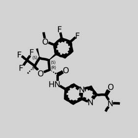 COc1c([C@H]2[C@H](C(=O)Nc3ccc4nc(C(=O)N(C)C)cn4c3)O[C@@](C)(C(F)(F)F)[C@H]2C)ccc(F)c1F